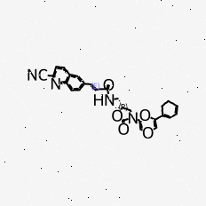 N#Cc1ccc2cc(/C=C/C(=O)NC[C@@H]3CN(C4=COC=C(C5=CC=CCC5)O4)C(=O)O3)ccc2n1